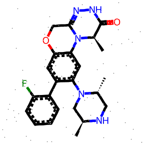 C[C@@H]1CN[C@@H](C)CN1c1cc2c(cc1-c1ccccc1F)OCC1=NNC(=O)[C@@H](C)N12